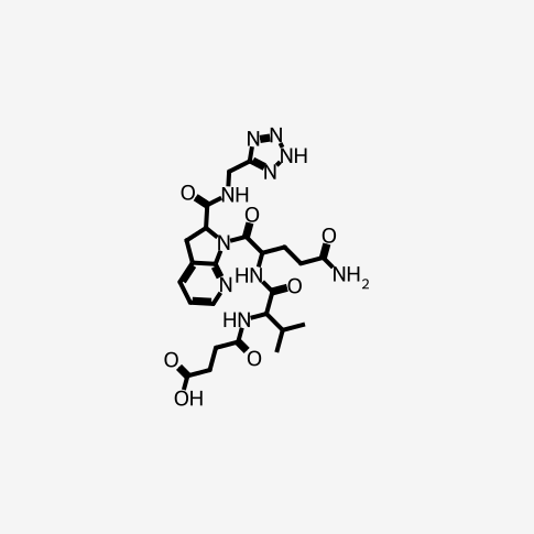 CC(C)C(NC(=O)CCC(=O)O)C(=O)NC(CCC(N)=O)C(=O)N1c2ncccc2CC1C(=O)NCc1nn[nH]n1